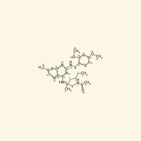 CCCCC(C)(CNC(C)=O)Nc1nc(NCc2ccc(OC)cc2OC)nc2cc(C)cnc12